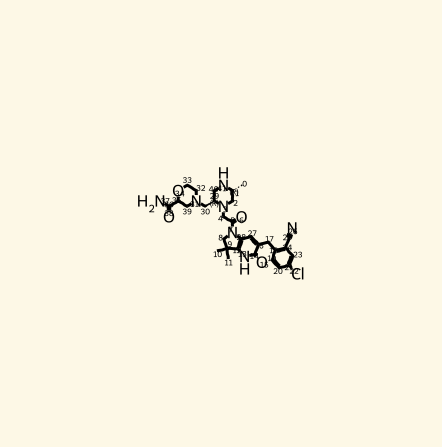 C[C@@H]1CN(CC(=O)N2CC(C)(C)c3[nH]c(=O)c(Cc4ccc(Cl)cc4C#N)cc32)[C@@H](CN2CCOC(C(N)=O)C2)CN1